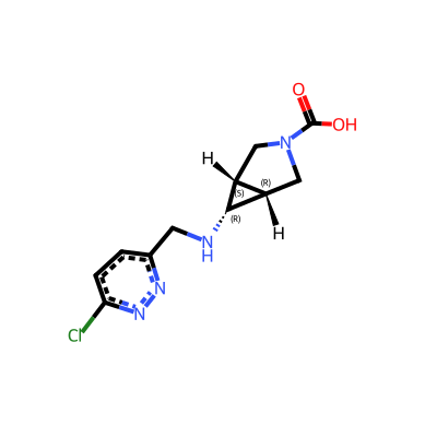 O=C(O)N1C[C@@H]2[C@H](C1)[C@@H]2NCc1ccc(Cl)nn1